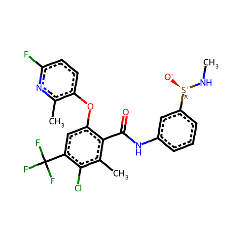 CN[S@+]([O-])c1cccc(NC(=O)c2c(Oc3ccc(F)nc3C)cc(C(F)(F)F)c(Cl)c2C)c1